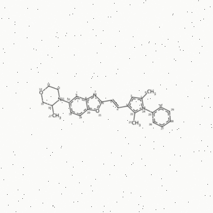 Cc1cc(C=Cc2nc3cc(N4CCOCC4C)ccc3o2)c(C)n1-c1ccccc1